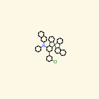 Clc1cccc(-c2cc(N(c3ccccc3)c3ccc4ccccc4c3)c3c(c2)C2(c4ccccc4-3)c3ccccc3-c3c2ccc2ccccc32)c1